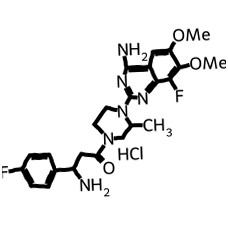 COc1cc2c(N)nc(N3CCN(C(=O)CC(N)c4ccc(F)cc4)CC3C)nc2c(F)c1OC.Cl